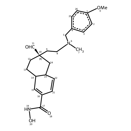 COc1ccc(CN(C)CC[C@@]2(C=O)CCC3C=C(C(=O)NO)C=CC3C2)cc1